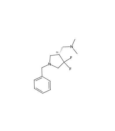 CN(C)C[C@H]1CN(Cc2ccccc2)CC1(F)F